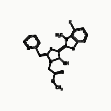 COC(=O)CN1/C(=C/c2ccccn2)S/C(=C2/Sc3cccc(F)c3N2C)C1O